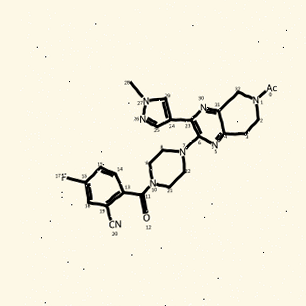 CC(=O)N1CCc2nc(N3CCN(C(=O)c4ccc(F)cc4C#N)CC3)c(-c3cnn(C)c3)nc2C1